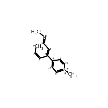 C\C=C/C(=C\C=N\C)c1cc[n+](C)cc1